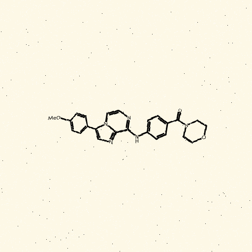 COc1ccc(-c2cnc3c(Nc4ccc(C(=O)N5CCOCC5)cc4)nccn23)cc1